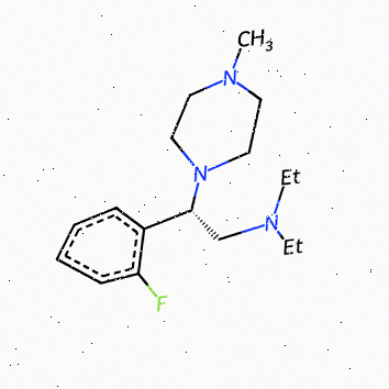 CCN(CC)C[C@H](c1ccccc1F)N1CCN(C)CC1